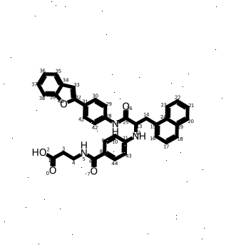 O=C(O)CCNC(=O)c1ccc(NC(Cc2cccc3ccccc23)C(=O)Nc2ccc(-c3cc4ccccc4o3)cc2)cc1